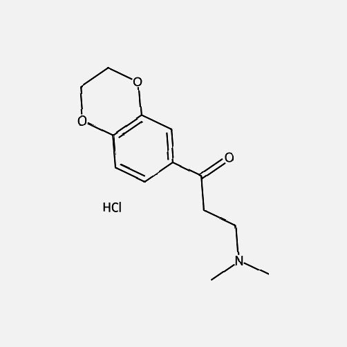 CN(C)CCC(=O)c1ccc2c(c1)OCCO2.Cl